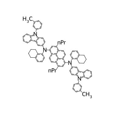 CCCc1cc(N(c2ccc3c(c2)c2ccccc2n3-c2cccc(C)c2)c2cccc3c2CCCC3)c2ccc3c(CCC)cc(N(c4ccc5c(c4)c4ccccc4n5-c4cccc(C)c4)c4cccc5c4CCCC5)c4ccc1c2c34